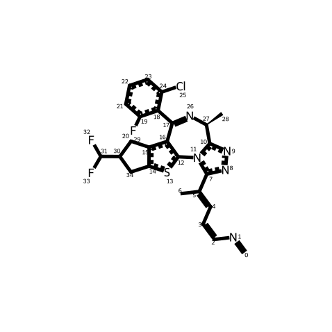 C=N/C=C\C=C(/C)c1nnc2n1-c1sc3c(c1C(c1c(F)cccc1Cl)=N[C@H]2C)CC(C(F)F)C3